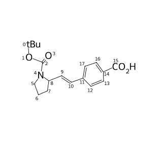 CC(C)(C)OC(=O)N1CCCC1/C=C/c1ccc(C(=O)O)cc1